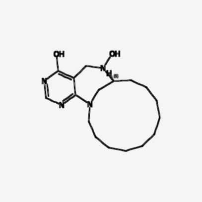 Oc1ncnc2c1CN(O)[C@H]1CCCCCCCCCCN2C1